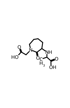 CC(NC1CCCCN(CC(=O)O)C1=O)C(=O)O